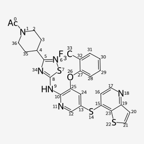 CC(=O)N1CCC(c2nsc(Nc3ncc(Sc4ccnc5ccsc45)cc3Oc3ccccc3C(F)(F)F)n2)CC1